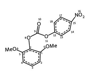 COc1cccc(OC)c1OC(=O)Oc1ccc([N+](=O)[O-])cc1